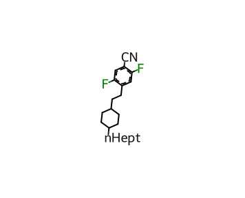 CCCCCCCC1CCC(CCc2cc(F)c(C#N)cc2F)CC1